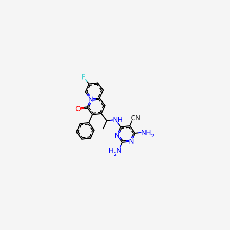 CC(Nc1nc(N)nc(N)c1C#N)c1cc2ccc(F)cn2c(=O)c1-c1ccccc1